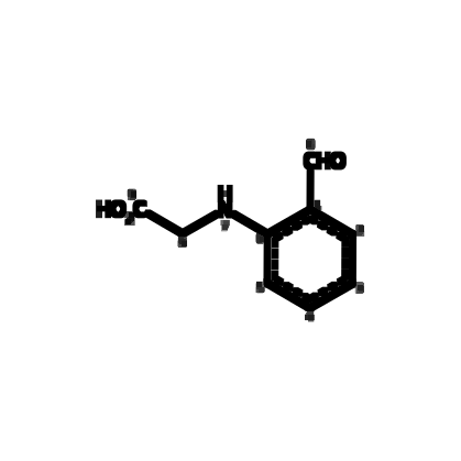 O=Cc1ccccc1NCC(=O)O